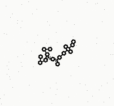 c1ccc(-c2ccccc2-c2ccc3c(c2)c2cc(-c4ccccc4-c4ccccc4)ccc2n3-c2ccc(N(c3ccccc3)c3ccc(-c4ccc(-c5c6ccccc6c(-c6ccc7ccccc7c6)c6ccccc56)cc4)cc3)cc2)cc1